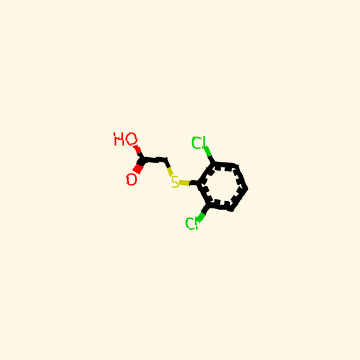 O=C(O)CSc1c(Cl)cccc1Cl